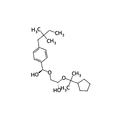 CCC(C)(C)Cc1ccc([C@H](O)OC[C@@H](O)OC(C)(C)C2CCCC2)cc1